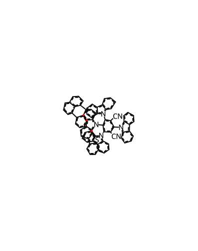 N#Cc1c(-n2c3ccccc3c3ccccc32)c(C#N)c(-n2c3ccccc3c3ccccc32)c(-n2c3ccc(-c4cccc5cccc(-c6ccccc6)c45)cc3c3ccc4c5ccccc5sc4c32)c1-n1c2ccccc2c2ccccc21